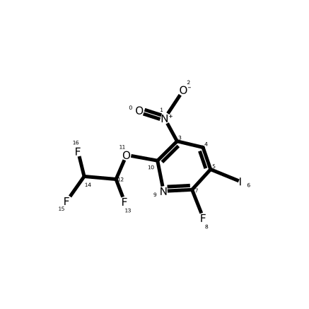 O=[N+]([O-])c1cc(I)c(F)nc1OC(F)C(F)F